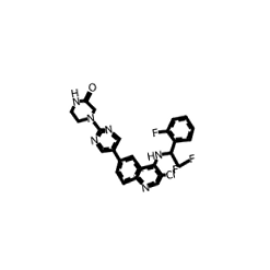 O=C1CN(c2ncc(-c3ccc4ncc(Cl)c(NC(c5ccccc5F)C(F)F)c4c3)cn2)CCN1